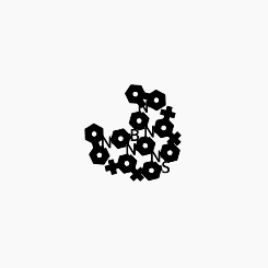 CC(C)(C)c1cc(N2c3cc(-n4c5ccccc5c5ccccc54)ccc3B3c4ccc(-n5c6ccccc6c6ccccc65)cc4N(c4cc(C(C)(C)C)cc(C(C)(C)C)c4)c4cc(N5c6ccccc6Sc6ccccc65)cc2c43)cc(C(C)(C)C)c1